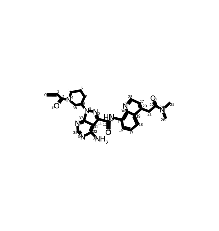 C=CC(=O)N1CCCC(n2nc(C(=O)Nc3cccc4c(CC(=O)N(C)C)ccnc34)c3c(N)ncnc32)C1